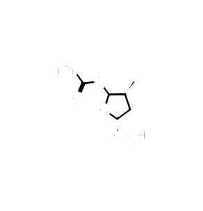 CCCC(=O)OC1O[C@@H](C(=O)O)C[C@@H]1C